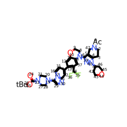 CC(=O)N1CCc2c(c(N3CCOc4cc(-c5ccn6c(N7CCN(C(=O)OC(C)(C)C)CC7)cnc6c5)c(C(F)F)cc43)nn2C2CCOCC2)C1